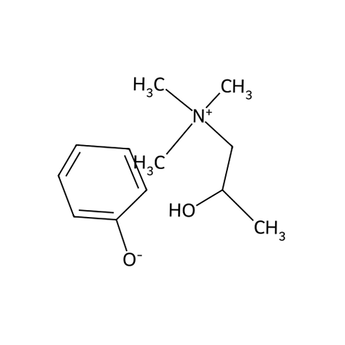 CC(O)C[N+](C)(C)C.[O-]c1ccccc1